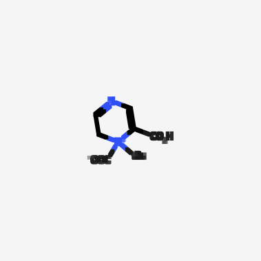 CC(C)(C)[N+]1(C(=O)[O-])CC=NC=C1C(=O)O